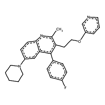 Cc1nc2ccc(N3CCCCC3)cc2c(-c2ccc(F)cc2)c1CCOc1cccnc1